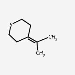 CC(C)=C1CCSCC1